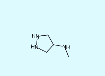 CNC1CNNC1